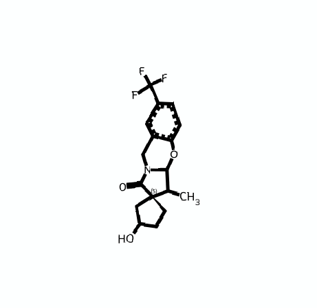 CC1C2Oc3ccc(C(F)(F)F)cc3CN2C(=O)[C@]12CCC(O)C2